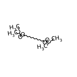 CCCCC(CC)C(=O)OCCCCCCCCCCCCOC(=O)C(CC)CCCC